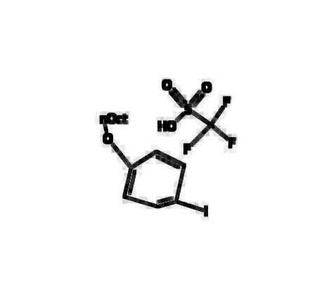 CCCCCCCCOc1ccc(I)cc1.O=S(=O)(O)C(F)(F)F